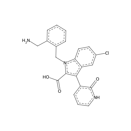 NCc1ccccc1Cn1c(C(=O)O)c(-c2ccc[nH]c2=O)c2cc(Cl)ccc21